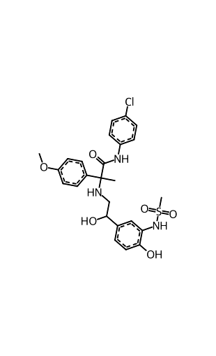 COc1ccc(C(C)(NCC(O)c2ccc(O)c(NS(C)(=O)=O)c2)C(=O)Nc2ccc(Cl)cc2)cc1